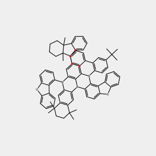 CC(C)(C)c1ccc(N2c3cc(N4c5ccccc5C5(C)CCCCC45C)cc4c3B(c3cc5c(cc3N4c3cccc4oc6ccccc6c34)C(C)(C)CCC5(C)C)c3ccc4sc5ccccc5c4c32)c(-c2ccccc2)c1